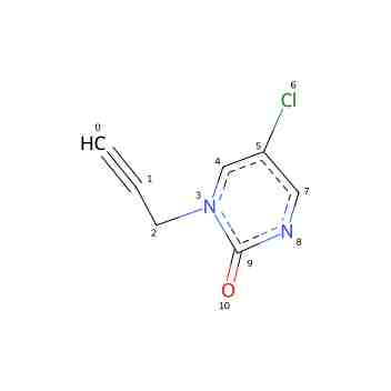 C#CCn1cc(Cl)cnc1=O